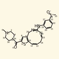 CN1CCN(C(=O)c2cc3c(s2)/C=C\C/C=N\C(Nc2cccc([S+](C)[O-])c2)=N/C3)CC1